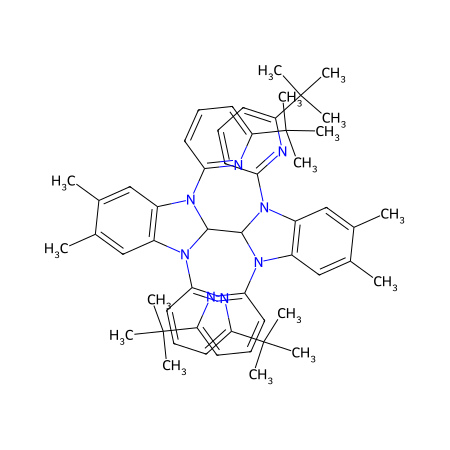 Cc1cc2c(cc1C)N(c1cccc(C(C)(C)C)n1)C(C1N(c3cccc(C(C)(C)C)n3)c3cc(C)c(C)cc3N1c1cccc(C(C)(C)C)n1)N2c1cccc(C(C)(C)C)n1